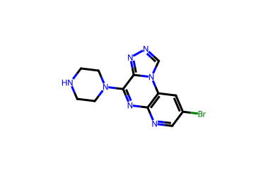 Brc1cnc2nc(N3CCNCC3)c3nncn3c2c1